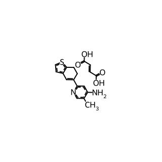 Cc1cnc(C2=Cc3ccsc3CC2)cc1N.O=C(O)/C=C/C(=O)O